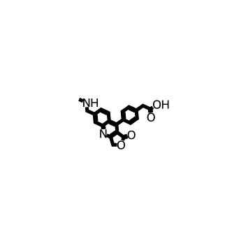 CNCc1ccc2c(-c3ccc(CC(=O)O)cc3)c3c(nc2c1)COC3=O